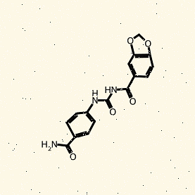 NC(=O)c1ccc(NC(=O)NC(=O)c2ccc3c(c2)OCO3)cc1